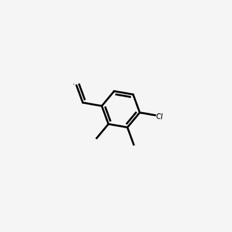 [CH]=Cc1ccc(Cl)c(C)c1C